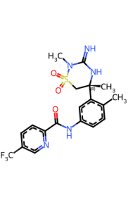 Cc1ccc(NC(=O)c2ccc(C(F)(F)F)cn2)cc1[C@]1(C)CS(=O)(=O)N(C)C(=N)N1